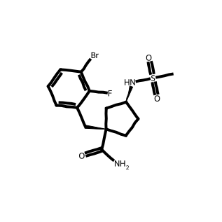 CS(=O)(=O)N[C@H]1CC[C@](Cc2cccc(Br)c2F)(C(N)=O)C1